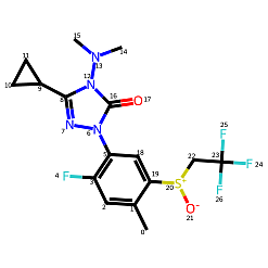 Cc1cc(F)c(-n2nc(C3CC3)n(N(C)C)c2=O)cc1[S+]([O-])CC(F)(F)F